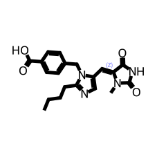 CCCCc1ncc(/C=C2/C(=O)NC(=O)N2C)n1Cc1ccc(C(=O)O)cc1